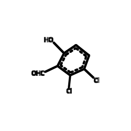 O=Cc1c(O)ccc(Cl)c1Cl